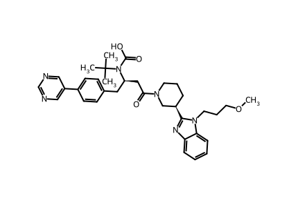 COCCCn1c([C@@H]2CCCN(C(=O)C[C@@H](Cc3ccc(-c4cncnc4)cc3)N(C(=O)O)C(C)(C)C)C2)nc2ccccc21